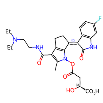 CCN(CC)CCNC(=O)c1c2c(n(OC(=O)C[C@H](O)C(=O)O)c1C)/C(=C1\C(=O)Nc3cc(F)ccc31)CC2